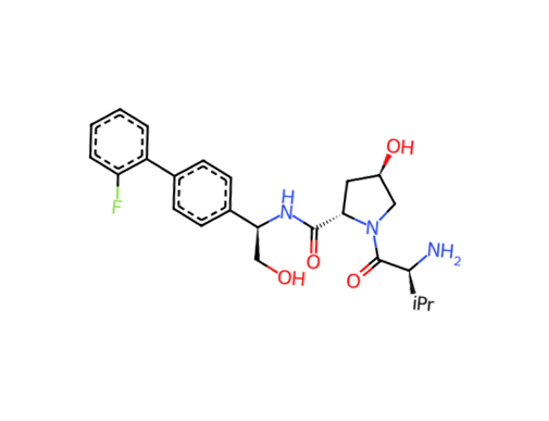 CC(C)[C@H](N)C(=O)N1C[C@H](O)C[C@H]1C(=O)N[C@@H](CO)c1ccc(-c2ccccc2F)cc1